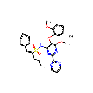 CCCC(=Cc1ccccc1)S(=O)(=O)Nc1nc(-c2ncccn2)nc(OC)c1Oc1ccccc1OC.[KH]